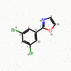 Brc1cc(Br)cc(-c2n[c]co2)c1